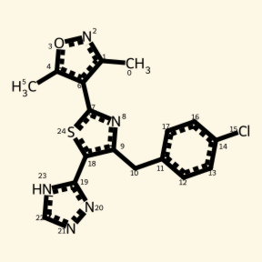 Cc1noc(C)c1-c1nc(Cc2ccc(Cl)cc2)c(-c2nnc[nH]2)s1